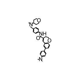 CN(C)c1ccc(-c2ccc3c(c2)C=C(C(=O)Nc2ccc(CN(C)C4CCOCC4)cc2)CCO3)cc1